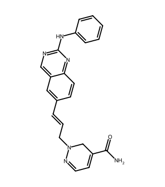 NC(=O)C1=CC=NN(C/C=C/c2ccc3nc(Nc4ccccc4)ncc3c2)C1